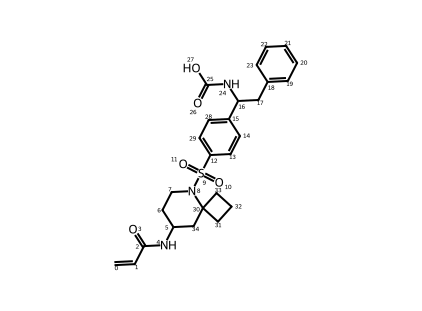 C=CC(=O)NC1CCN(S(=O)(=O)c2ccc(C(Cc3ccccc3)NC(=O)O)cc2)C2(CCC2)C1